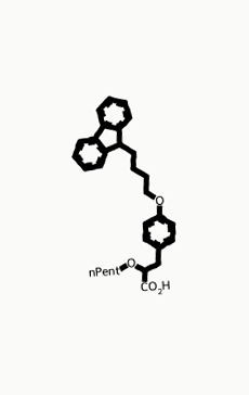 CCCCCOC(Cc1ccc(OCCCCC2c3ccccc3-c3ccccc32)cc1)C(=O)O